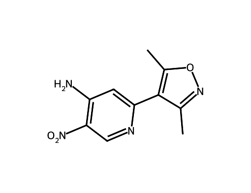 Cc1noc(C)c1-c1cc(N)c([N+](=O)[O-])cn1